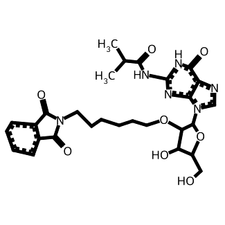 CC(C)C(=O)Nc1nc2c(ncn2C2OC(CO)C(O)C2OCCCCCCN2C(=O)c3ccccc3C2=O)c(=O)[nH]1